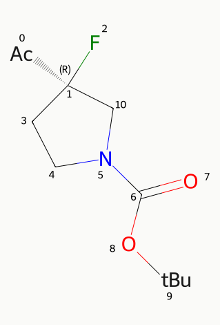 CC(=O)[C@@]1(F)CCN(C(=O)OC(C)(C)C)C1